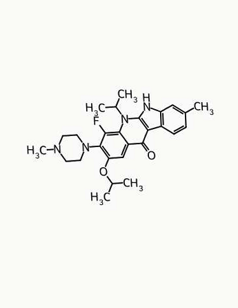 Cc1ccc2c(c1)[nH]c1c2c(=O)c2cc(OC(C)C)c(N3CCN(C)CC3)c(F)c2n1C(C)C